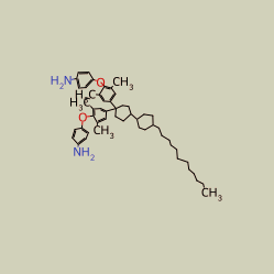 CCCCCCCCCCCCC1CCC(C2CCC(c3cc(C)c(Oc4ccc(N)cc4)c(C)c3)(c3cc(C)c(Oc4ccc(N)cc4)c(C)c3)CC2)CC1